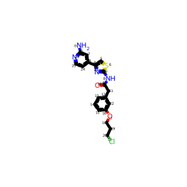 Nc1cc(-c2csc(NC(=O)Cc3cccc(OCCCCl)c3)n2)ccn1